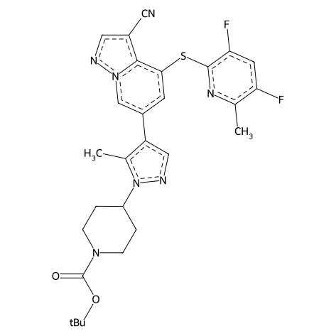 Cc1nc(Sc2cc(-c3cnn(C4CCN(C(=O)OC(C)(C)C)CC4)c3C)cn3ncc(C#N)c23)c(F)cc1F